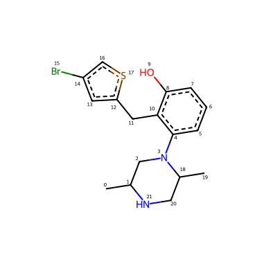 CC1CN(c2cccc(O)c2Cc2cc(Br)cs2)C(C)CN1